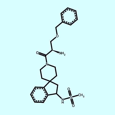 CS(=O)(=O)NC1CC2(CCN(C(=O)[C@H](N)COCc3ccccc3)CC2)c2ccccc21